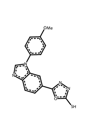 COc1ccc(-n2cnc3ccc(-c4nnc(S)o4)cc32)cc1